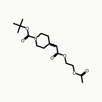 CC(=O)OCCOC(=O)C=C1CCN(C(=O)OC(C)(C)C)CC1